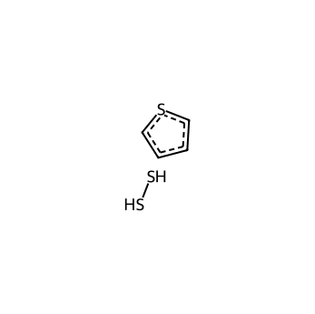 SS.c1ccsc1